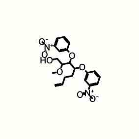 C=CCCC(Oc1cccc([N+](=O)[O-])c1)C(Oc1cccc([N+](=O)[O-])c1)C(CO)OC